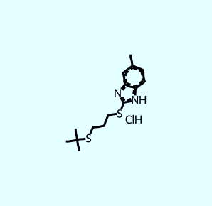 Cc1ccc2[nH]c(SCCCSC(C)(C)C)nc2c1.Cl